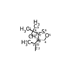 C[C@H](F)[C@H]1COSN1C(C)(C)C